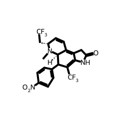 CN1[C@H](CC(F)(F)F)C=CC2=C3CC(=O)NC3=C(C(F)(F)F)C(c3ccc([N+](=O)[O-])cc3)[C@H]21